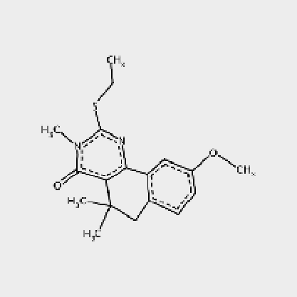 CCSc1nc2c(c(=O)n1C)C(C)(C)Cc1ccc(OC)cc1-2